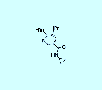 CC(C)c1cc(C(=O)NC2CC2)cnc1C(C)(C)C